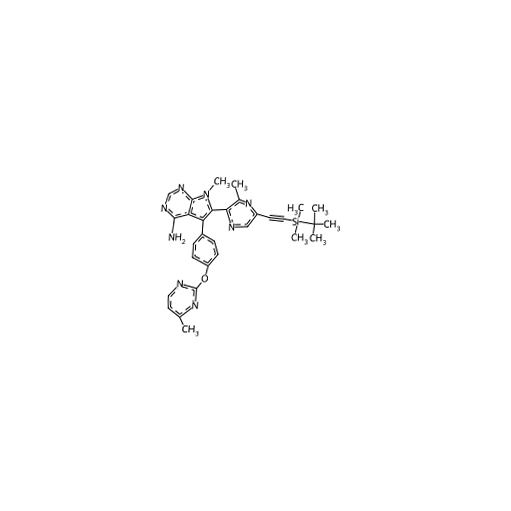 Cc1ccnc(Oc2ccc(-c3c(-c4ncc(C#C[Si](C)(C)C(C)(C)C)nc4C)n(C)c4ncnc(N)c34)cc2)n1